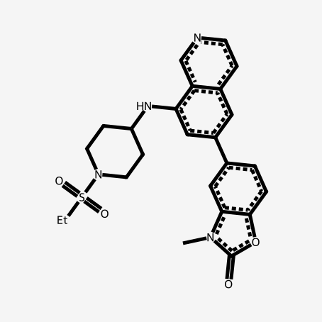 CCS(=O)(=O)N1CCC(Nc2cc(-c3ccc4oc(=O)n(C)c4c3)cc3ccncc23)CC1